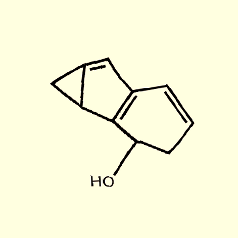 OC1CC=CC2=C1C1CC1=C2